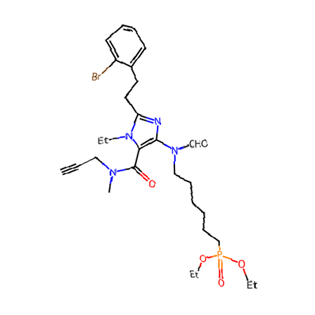 C#CCN(C)C(=O)c1c(N(C=O)CCCCCCP(=O)(OCC)OCC)nc(CCc2ccccc2Br)n1CC